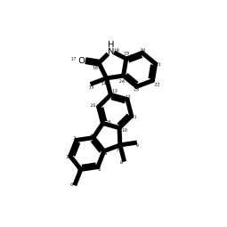 Cc1ccc2c(c1)C(C)(C)c1ccc(C3(C)C(=O)Nc4ccccc43)cc1-2